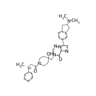 C[C@H](CC(=O)N1CCC(O)(Cn2cnn3c(-c4ccc5c(c4)CC(N(C)C)C5)cnc3c2=O)CC1)c1ccccc1